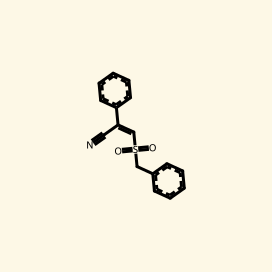 N#C/C(=C\S(=O)(=O)Cc1ccccc1)c1ccccc1